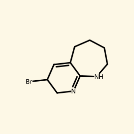 BrC1C=C2CCCCNC2=NC1